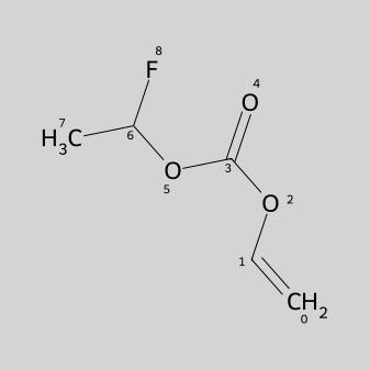 C=COC(=O)OC(C)F